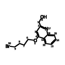 OCc1cc(OCCCCBr)c2ccccc2n1